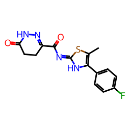 Cc1s/c(=N\C(=O)C2=NNC(=O)CC2)[nH]c1-c1ccc(F)cc1